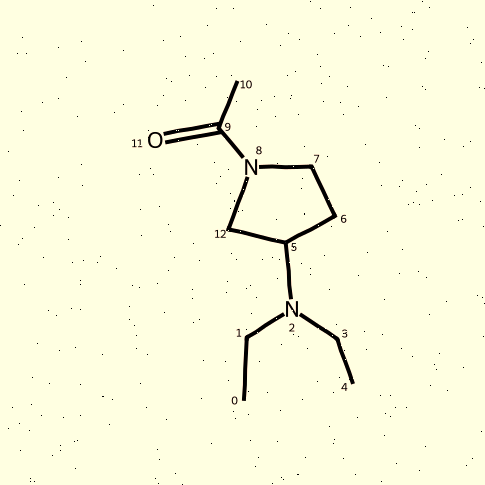 CCN(CC)C1CCN(C(C)=O)C1